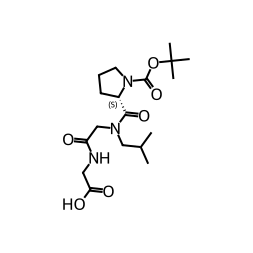 CC(C)CN(CC(=O)NCC(=O)O)C(=O)[C@@H]1CCCN1C(=O)OC(C)(C)C